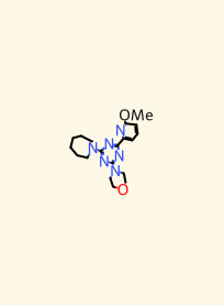 COc1cccc(-c2nc(N3CCCCCC3)nc(N3CCOCC3)n2)n1